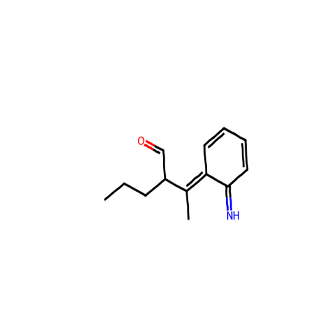 CCCC(C=O)/C(C)=C1\C=CC=CC1=N